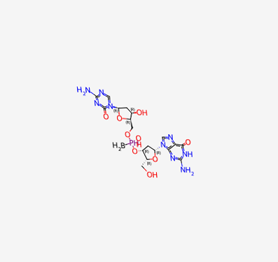 B[PH](O)(OC[C@H]1O[C@@H](n2cnc(N)nc2=O)C[C@H]1O)O[C@@H]1C[C@H](n2cnc3c(=O)[nH]c(N)nc32)O[C@@H]1CO